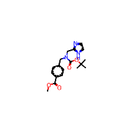 COC(=O)c1ccc(CN(Cc2ncc[nH]2)C(=O)OC(C)(C)C)cc1